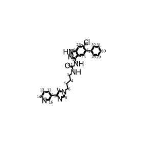 O=C(NCCCCn1cnc(-c2cccnc2)c1)Nc1n[nH]c2cc(Cl)c(-c3ccccc3)cc12